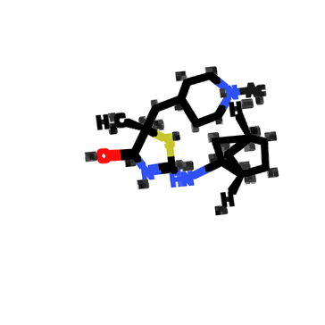 CC(=O)N1CCC(C[C@]2(C)SC(NC3C[C@@H]4CC[C@H]3C4)=NC2=O)CC1